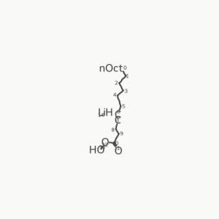 CCCCCCCCCCCCCCCCCC(=O)OO.[LiH]